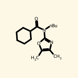 CCCCN(C(=O)C1CCCCC1)c1nc(C)c(C)o1